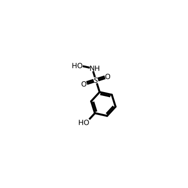 O=S(=O)(NO)c1cccc(O)c1